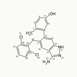 Cc1ccc(O)cc1-c1cc2[nH]nc(N)c2cc1Cc1c(Cl)cccc1Cl